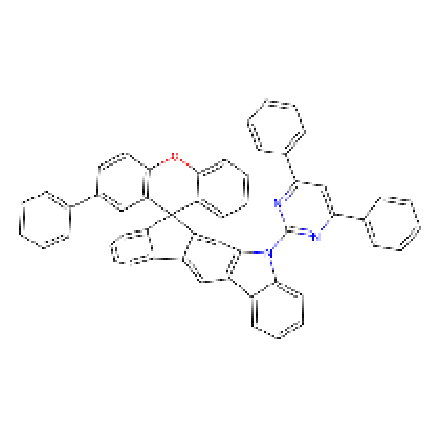 c1ccc(-c2ccc3c(c2)C2(c4ccccc4O3)c3ccccc3-c3cc4c5ccccc5n(-c5nc(-c6ccccc6)cc(-c6ccccc6)n5)c4cc32)cc1